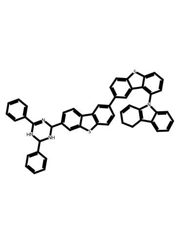 C1=Cc2c(c3ccccc3n2-c2cccc3sc4ccc(-c5ccc6sc7cc(C8N=C(c9ccccc9)NC(c9ccccc9)N8)ccc7c6c5)cc4c23)CC1